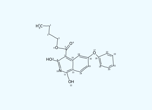 CCCCOC(=O)c1c(O)nc(O)c2ccc(Oc3ccccc3)cc12